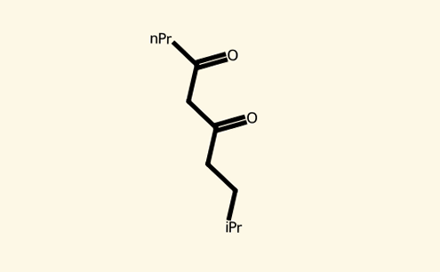 CCCC(=O)CC(=O)CCC(C)C